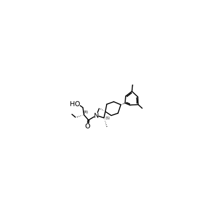 CC[C@H](CO)C(=O)N1C[C@]2(CC[C@@H](c3cc(C)cc(C)c3)CC2)[C@@H]1C